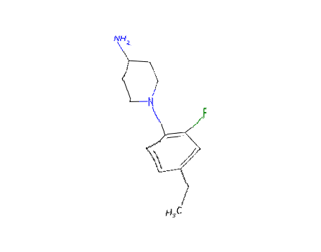 CCc1ccc(N2CCC(N)CC2)c(F)c1